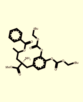 COC(=O)[C@](N)(Cc1ccc(OC(=O)OCC(C)(C)C)c(OC(=O)OCC(C)(C)C)c1)CC(C)OC(=O)c1ccccc1